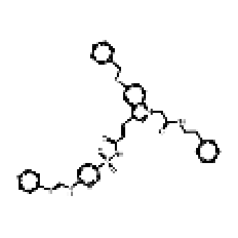 O=C(C=Cc1cn(CC(=O)NCCc2ccccc2)c2ccc(OCc3ccccc3)cc12)NS(=O)(=O)c1ccc(NC=Nc2ccccc2)nc1